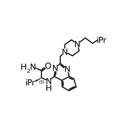 CC(C)CCN1CCN(Cc2nc(N[C@H](C(N)=O)C(C)C)c3ccccc3n2)CC1